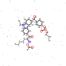 CCCCC/C(=N\OC(C)=O)C(=O)c1ccc2c(c1)c1cc(C(=O)c3ccc(OC(=O)OCCC)cc3)ccc1n2CC